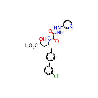 O=C(NNc1cccnc1)C(=O)N[C@H](Cc1ccc(-c2cccc(Cl)c2)cc1)C[C@@H](O)C(=O)O